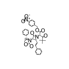 CC(C)(C)C(=O)C(C(=O)OCc1ccc([N+](=O)[O-])cc1)N1C(=O)C(N2C(=O)OC[C@@H]2c2ccccc2)C1C=Cc1ccccc1